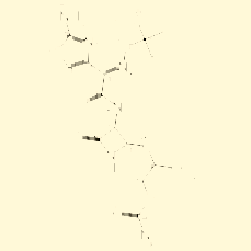 CC(C)(O/N=C(/C(=O)NC1C(=O)NC1OC(COC(N)=O)C(=O)O)c1csc(N)n1)C(=O)O